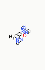 Cc1ccc(NC(=O)N2C3CCCC2(c2ncccn2)C3)cc1-c1ncc2cccn2n1